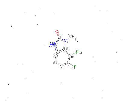 Cn1c(=O)[nH]c2ccc(F)c(F)c21